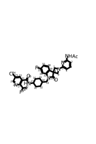 CC(=O)Nc1cccc(N2CC3(C2)C(=O)N(CC2CCC(NC(=O)c4cc(Cl)cnc4C(F)F)CC2)c2cc(F)ccc23)n1